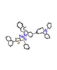 c1ccc(-c2nc(-n3c4ccc(-c5ccc6c(c5)c5ccccc5n6-c5ccccc5)cc4c4cc5ccccc5cc43)nc3cc(-c4cccc5ccccc45)sc23)cc1